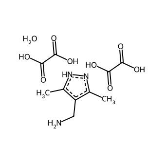 Cc1n[nH]c(C)c1CN.O.O=C(O)C(=O)O.O=C(O)C(=O)O